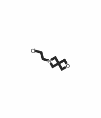 ClCCN1CC2(COC2)C1